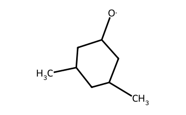 CC1CC(C)CC([O])C1